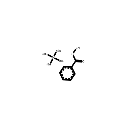 CCCC[N+](CCCC)(CCCC)CCCC.N#COC(=O)c1ccccc1